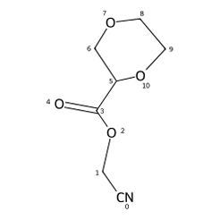 N#CCOC(=O)C1COCCO1